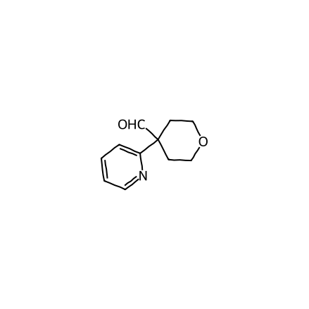 O=CC1(c2ccccn2)CCOCC1